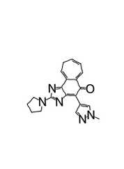 Cn1cc(C2=C3N=C(N4CCCC4)N=C3C3=CCC=CC=C3C2=O)cn1